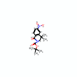 CC(C)(C)OC(=O)N1CC(C)(C)c2cc([N+](=O)[O-])ccc2C1=O